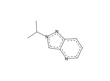 CC(C)n1cc2ncccc2n1